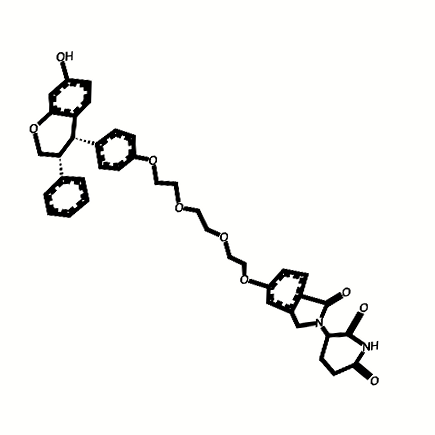 O=C1CCC(N2Cc3cc(OCCOCCOCCOc4ccc([C@H]5c6ccc(O)cc6OC[C@H]5c5ccccc5)cc4)ccc3C2=O)C(=O)N1